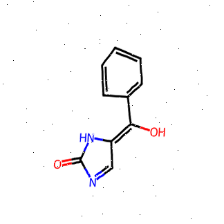 O=C1N=CC(=C(O)c2ccccc2)N1